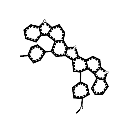 COc1ccc(-c2cc3c4cc(-c5ccc(C)cc5)c5c(ccc6oc7ccccc7c65)c4sc3c3ccc4oc5ccccc5c4c23)cc1